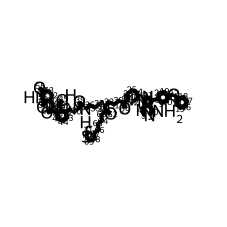 Nc1ncnc2c1c(-c1ccc(Oc3ccccc3)cc1)nn2[C@@H]1CCCN(C(=O)CCCN(CCCNC(=O)CNc2cccc3c2C(=O)N(C2CCC(=O)NC2=O)C3=O)C(=O)CCCCC2CCSS2)C1